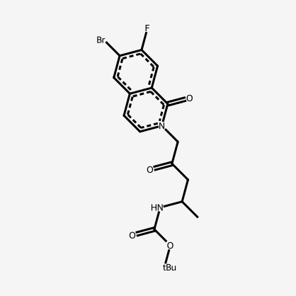 CC(CC(=O)Cn1ccc2cc(Br)c(F)cc2c1=O)NC(=O)OC(C)(C)C